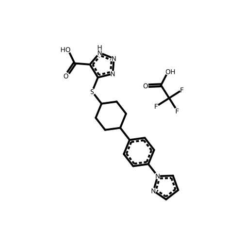 O=C(O)C(F)(F)F.O=C(O)c1[nH]nnc1SC1CCC(c2ccc(-n3cccn3)cc2)CC1